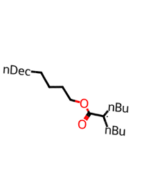 CCCCCCCCCCCCCCOC(=O)[C](CCCC)CCCC